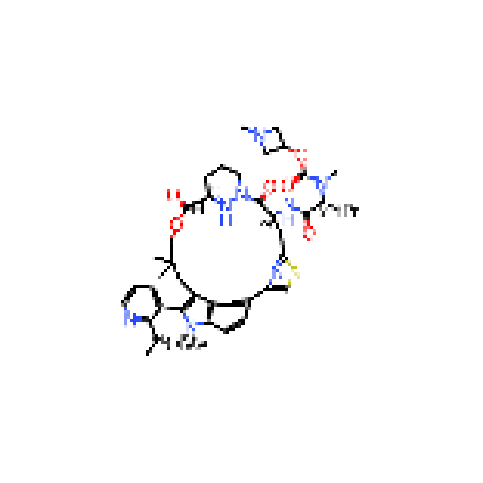 CCn1c(-c2cccnc2[C@H](C)OC)c2c3cc(ccc31)-c1csc(n1)C[C@H](NC(=O)[C@H](C(C)C)N(C)C(=O)OC1CN(C)C1)C(=O)N1CCC[C@H](N1)C(=O)OCC(C)(C)C2